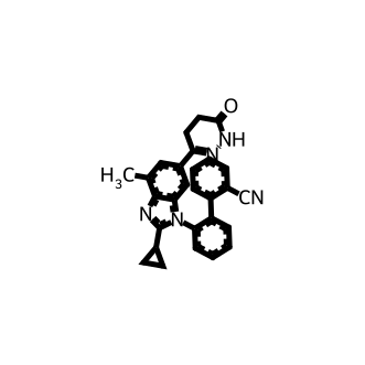 Cc1cc(C2=NNC(=O)CC2)cc2c1nc(C1CC1)n2-c1ccccc1-c1ccccc1C#N